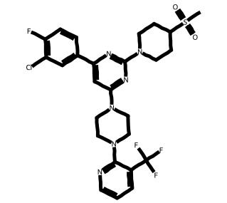 CS(=O)(=O)C1CCN(c2nc(-c3ccc(F)c(Cl)c3)cc(N3CCN(c4ncccc4C(F)(F)F)CC3)n2)CC1